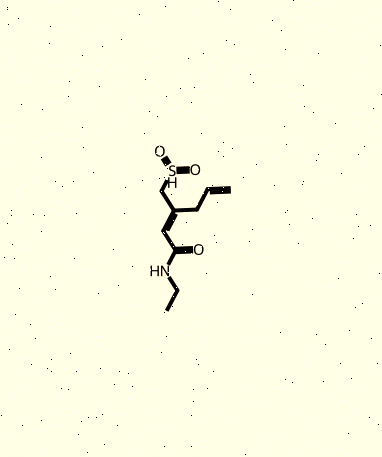 C=CC/C(=C\C(=O)NCC)C[SH](=O)=O